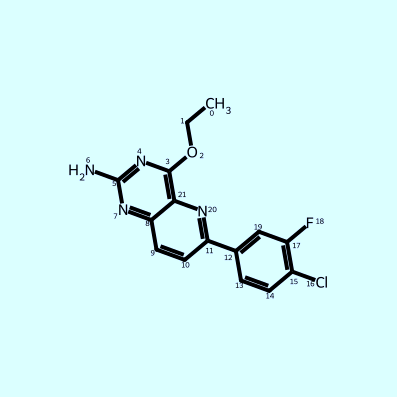 CCOc1nc(N)nc2ccc(-c3ccc(Cl)c(F)c3)nc12